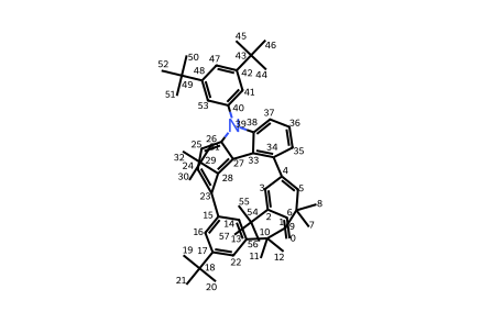 C=C/C(=C\C1=C/C(C)(C)CC(C)(C)c2cc(cc(C(C)(C)C)c2)-c2ccc3c(c2C(C)(C)C)c2c1cccc2n3-c1cc(C(C)(C)C)cc(C(C)(C)C)c1)C(C)(C)C